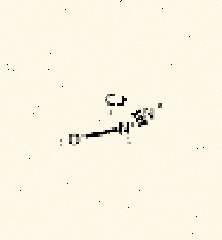 N#[N+][O-].[Cu]